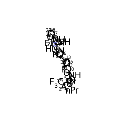 CCCC1CC1(c1cc(NC(=O)Cc2ccc(-c3cnc(N/C(C=N)=C(\CC)NC4CCCCO4)nc3)cc2F)no1)C(F)(F)F